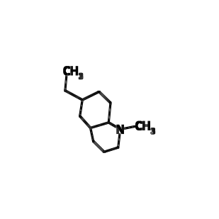 CCC1CCC2C(CCCN2C)C1